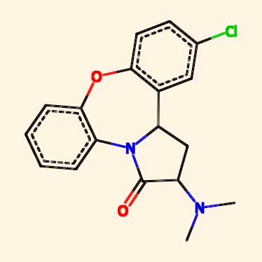 CN(C)C1CC2c3cc(Cl)ccc3Oc3ccccc3N2C1=O